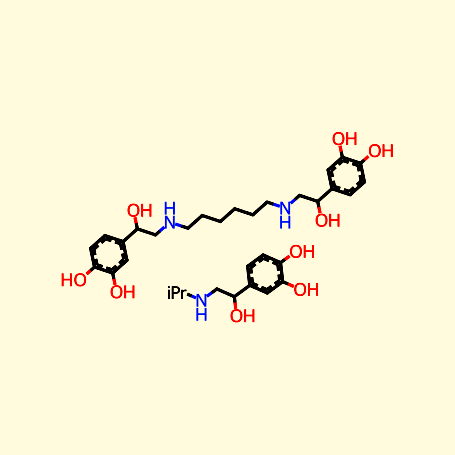 CC(C)NCC(O)c1ccc(O)c(O)c1.Oc1ccc(C(O)CNCCCCCCNCC(O)c2ccc(O)c(O)c2)cc1O